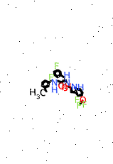 CCc1cccc(CNC[C@@H](O)[C@H](Cc2cc(F)cc(F)c2)NC(=O)c2cc3cc(OC(F)(F)F)ccc3[nH]2)c1